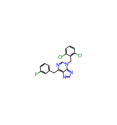 Fc1cccc([CH]c2ncn(Cc3c(Cl)cccc3Cl)c3ncnc2-3)c1